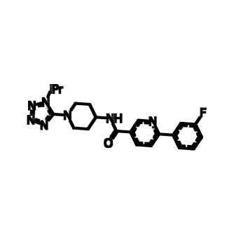 CC(C)n1nnnc1N1CCC(NC(=O)c2ccc(-c3cccc(F)c3)nc2)CC1